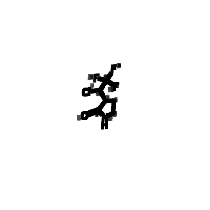 O=C1NCCC1C(Cl)C(F)(F)F